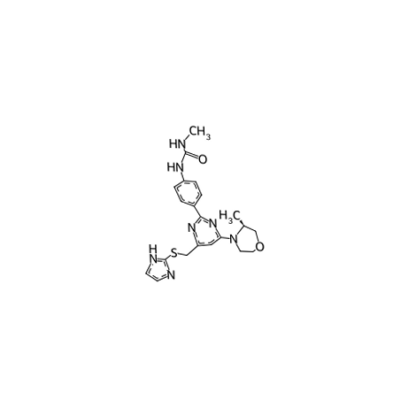 CNC(=O)Nc1ccc(-c2nc(CSc3ncc[nH]3)cc(N3CCOC[C@@H]3C)n2)cc1